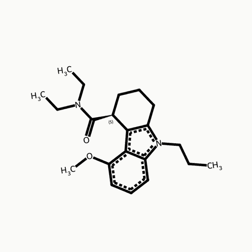 CCCn1c2c(c3c(OC)cccc31)[C@@H](C(=O)N(CC)CC)CCC2